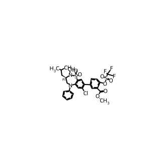 COC(=O)c1cc(-c2cc3c(cc2Cl)N(c2ccccc2)C[C@@H](CC(C)C)N(C)S3(=O)=O)ccc1OS(=O)(=O)C(F)(F)F